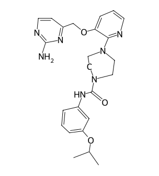 CC(C)Oc1cccc(NC(=O)N2CCN(c3ncccc3OCc3ccnc(N)n3)CC2)c1